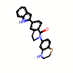 O=C1c2ccc(-c3cc4ccccc4[nH]3)cc2CCN1c1ccc2c(c1)NCCS2